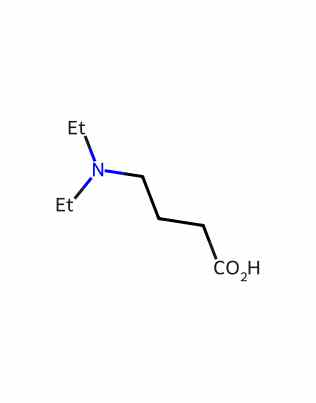 CCN(CC)CCCC(=O)O